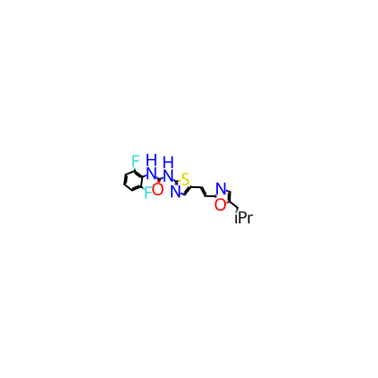 CC(C)Cc1cnc(C=Cc2cnc(NC(=O)Nc3c(F)cccc3F)s2)o1